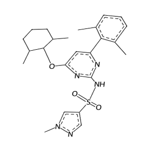 Cc1cccc(C)c1-c1cc(OC2C(C)CCCC2C)nc(NS(=O)(=O)c2cnn(C)c2)n1